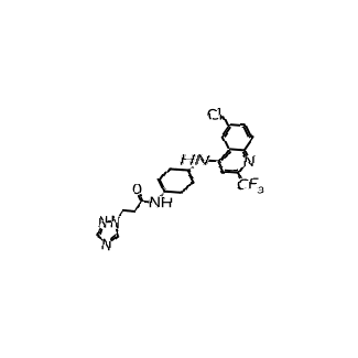 O=C(CCn1cncn1)N[C@H]1CC[C@@H](Nc2cc(C(F)(F)F)nc3ccc(Cl)cc23)CC1